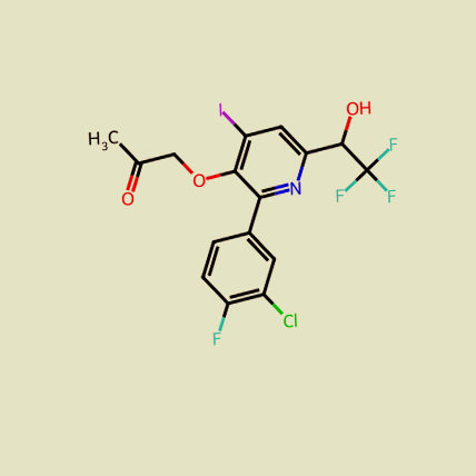 CC(=O)COc1c(I)cc(C(O)C(F)(F)F)nc1-c1ccc(F)c(Cl)c1